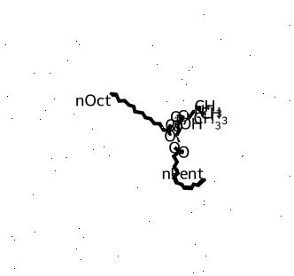 CCCCC/C=C\C/C=C\C/C=C\CCCCC(=O)OC[C@H](COP(=O)(O)OCC[N+](C)(C)C)OC(=O)CCCCCCCCCCC/C=C\CCCCCCCC